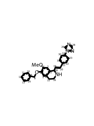 COc1cc2c(cc1OCc1ccccc1)CCNC2/C=C/c1ccc(-n2cncn2)cc1